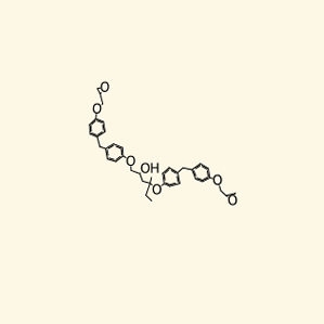 CCC(C)(CC(O)COc1ccc(Cc2ccc(OCC3CO3)cc2)cc1)Oc1ccc(Cc2ccc(OCC3CO3)cc2)cc1